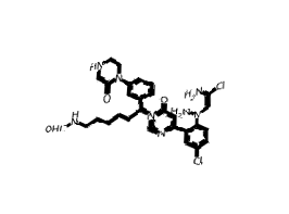 N/C(Cl)=C\N(N)c1ccc(Cl)cc1-c1cc(=O)n(C(CCCCCNC=O)c2cccc(N3CCNCC3=O)c2)cn1